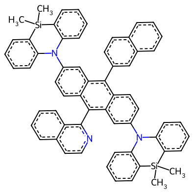 C[Si]1(C)c2ccccc2N(c2ccc3c(-c4nccc5ccccc45)c4cc(N5c6ccccc6[Si](C)(C)c6ccccc65)ccc4c(-c4ccc5ccccc5c4)c3c2)c2ccccc21